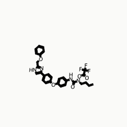 CCCCN(OC(=O)C(F)(F)F)C(=O)Nc1ccc(Oc2ccc(-c3c[nH]c(COc4ccccc4)n3)cc2)cc1